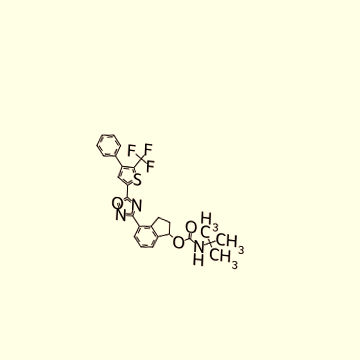 CC(C)(C)NC(=O)OC1CCc2c(-c3noc(-c4cc(-c5ccccc5)c(C(F)(F)F)s4)n3)cccc21